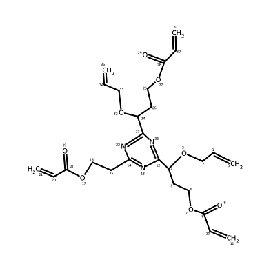 C=CCOC(CCOC(=O)C=C)c1nc(CCOC(=O)C=C)nc(C(CCOC(=O)C=C)OCC=C)n1